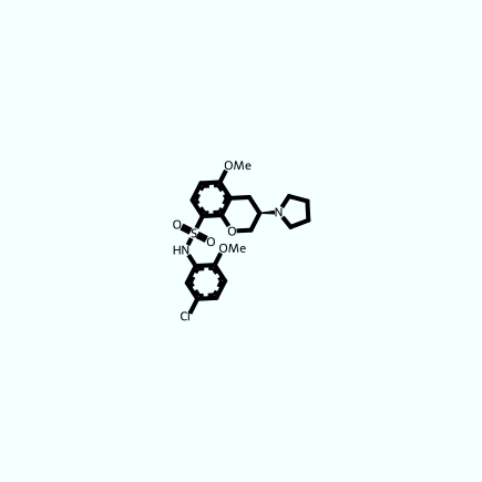 COc1ccc(Cl)cc1NS(=O)(=O)c1ccc(OC)c2c1OC[C@H](N1CCCC1)C2